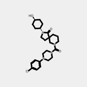 O=C(N1CCN(c2ccc(Cl)cc2)CC1)N1CCCC2(CCN([C@H]3CC[C@H](O)CC3)C2=O)C1